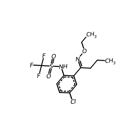 CCCC(=NOCC)c1cc(Cl)ccc1NS(=O)(=O)C(F)(F)F